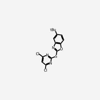 CC(C)(C)c1ccc2oc(Sc3nc(Cl)cc(Cl)n3)nc2c1